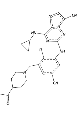 N#Cc1cc(CN2CCC(C(N)=O)CC2)c(Cl)c(Nc2nc(NC3CC3)c3ncc(C#N)n3n2)c1